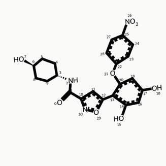 O=C(N[C@H]1CC[C@H](O)CC1)c1cc(-c2c(O)cc(O)cc2Oc2ccc([N+](=O)[O-])cc2)on1